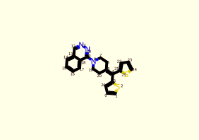 c1csc(C(=C2CCN(c3nncc4ccccc34)CC2)c2cccs2)c1